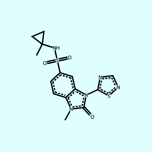 Cn1c(=O)n(-c2ncns2)c2cc(S(=O)(=O)NC3(C)CC3)ccc21